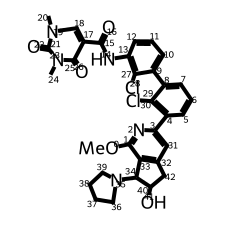 COc1nc(-c2cccc(-c3cccc(NC(=O)c4cn(C)c(=O)n(C)c4=O)c3Cl)c2Cl)cc2c1C(N1CCCC1)C(O)C2